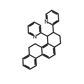 c1ccc(C2CCc3ccc4c(c3C2c2ccccn2)CCc2ccccc2-4)nc1